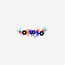 N[C@@H](C(=O)N1Cc2cn(S(=O)(=O)c3ccc(OC(F)F)cc3)nc2C1)c1cccc(OC(F)(F)F)c1